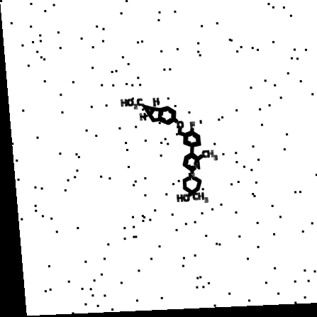 Cc1nc(N2CCC(C)(O)CC2)ccc1-c1ccc(F)c(COc2ccc3c(c2)C[C@H]2[C@H](C(=O)O)[C@@H]32)c1